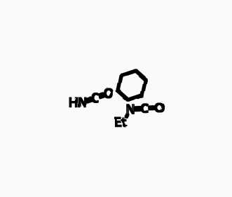 C1CCCCC1.CCN=C=O.N=C=O